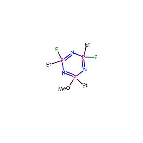 CCP1(F)=NP(F)(CC)=NP(CC)(OC)=N1